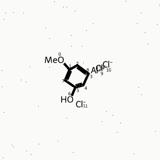 COc1cccc(O)c1.[Al+3].[Cl-].[Cl-].[Cl-]